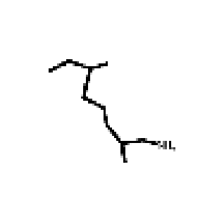 CCC(C)CCCC(C)CN